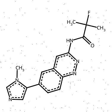 Cn1cncc1-c1ccc2nnc(NC(=O)C(C)(C)F)cc2c1